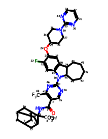 O=C(NC1(C(=O)O)C2CC3CC(C2)CC1C3)c1cnc(N2c3cc(F)c(OC4CCN(c5ncccn5)CC4)cc3C3CCCCCC32)nc1C(F)(F)F